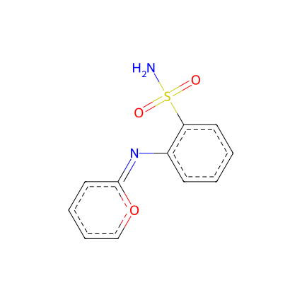 NS(=O)(=O)c1ccccc1N=c1cccco1